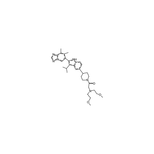 COCCN(CCOC)CC(=O)N1CCC(c2ccc3[nH]c(-c4cn5ncnc5c(C)c4C)c(C(C)C)c3c2)CC1